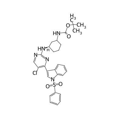 CC(C)(C)OC(=O)NC1CCC[C@@H](Nc2ncc(Cl)c(-c3cn(S(=O)(=O)c4ccccc4)c4ccccc34)n2)C1